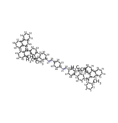 Cc1ccccc1N(c1ccc2c(c1)C(C)(C)c1cc(/C=C/c3ccc(/C=C/c4ccc5c(c4)C(C)(C)c4cc(N(c6ccccc6C)c6cc7ccccc7c7ccccc67)ccc4-5)cc3)ccc1-2)c1cc2ccccc2c2ccccc12